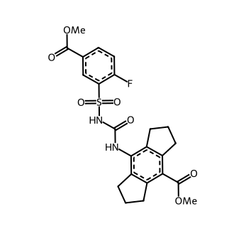 COC(=O)c1ccc(F)c(S(=O)(=O)NC(=O)Nc2c3c(c(C(=O)OC)c4c2CCC4)CCC3)c1